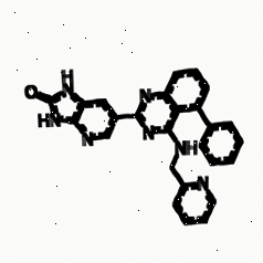 O=c1[nH]c2cc(-c3nc(NCc4ccccn4)c4c(-c5ccccc5)cccc4n3)cnc2[nH]1